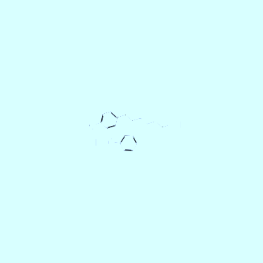 CCCCCCCc1ccc(C)cc1.Cc1ccccc1